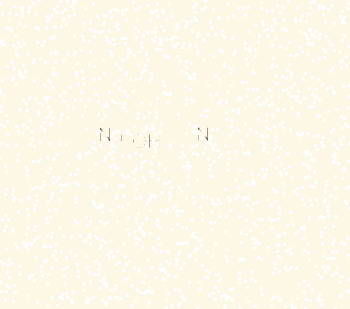 C[CH]N(C)C.[Na+].[OH-]